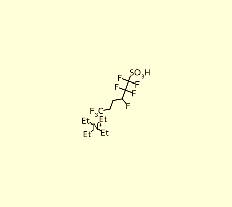 CC[N+](CC)(CC)CC.O=S(=O)(O)C(F)(F)C(F)(F)C(F)CCC(F)(F)F